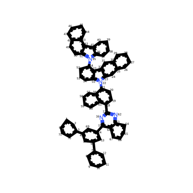 c1ccc(-c2cc(-c3ccccc3)cc(-c3nc(-c4ccc(-n5c6cc7ccccc7cc6c6c(-n7c8ccccc8c8c9ccccc9ccc87)cccc65)c5ccccc45)nc4ccccc34)c2)cc1